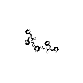 O=C(OCOc1cncc(OCOC(=O)N(Cc2cccs2)Cc2cccs2)c1)N(Cc1cccs1)Cc1cccs1